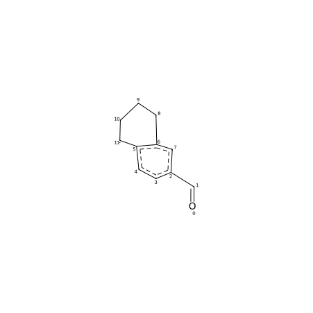 O=Cc1ccc2c(c1)CCC[CH]2